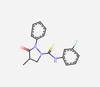 CC1CN(C(=S)Nc2cccc(F)c2)N(c2ccccc2)C1=O